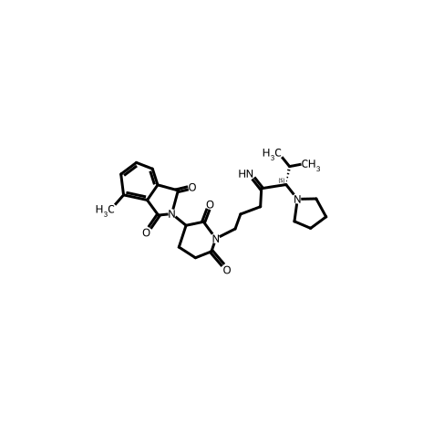 Cc1cccc2c1C(=O)N(C1CCC(=O)N(CCCC(=N)[C@H](C(C)C)N3CCCC3)C1=O)C2=O